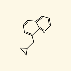 c1cnc2c(CC3CC3)cccc2c1